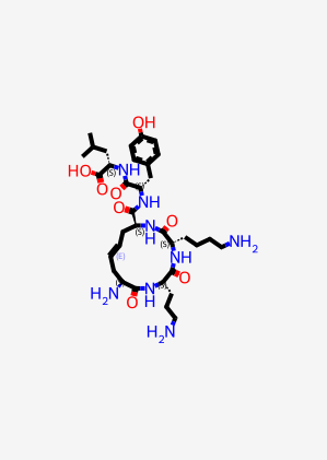 CC(C)C[C@H](NC(=O)[C@H](Cc1ccc(O)cc1)NC(=O)[C@@H]1C/C=C/C[C@H](N)C(=O)N[C@@H](CCCN)C(=O)N[C@@H](CCCCN)C(=O)N1)C(=O)O